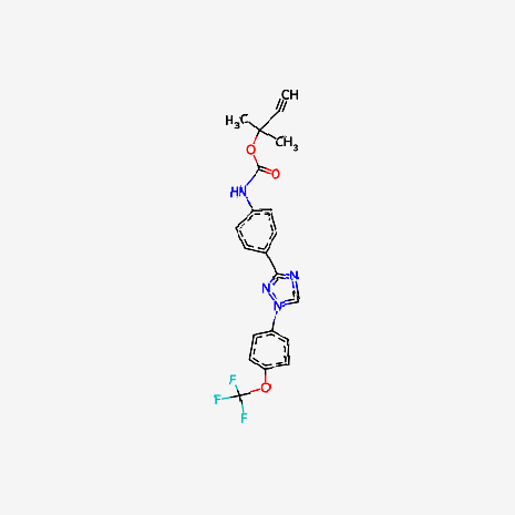 C#CC(C)(C)OC(=O)Nc1ccc(-c2ncn(-c3ccc(OC(F)(F)F)cc3)n2)cc1